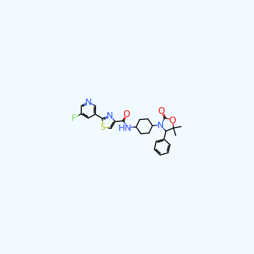 CC1(C)OC(=O)N(C2CCC(NC(=O)c3csc(-c4cncc(F)c4)n3)CC2)C1c1ccccc1